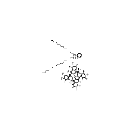 CCCCCCCCCCCCCCCCCC[NH+](CCCCCCCCCCCCCC)c1ccccc1C.Fc1c(F)c(F)c2c(F)c([B-](c3c(F)c(F)c4c(F)c(F)c(F)c(F)c4c3F)(c3c(F)c(F)c4c(F)c(F)c(F)c(F)c4c3F)c3c(F)c(F)c4c(F)c(F)c(F)c(F)c4c3F)c(F)c(F)c2c1F